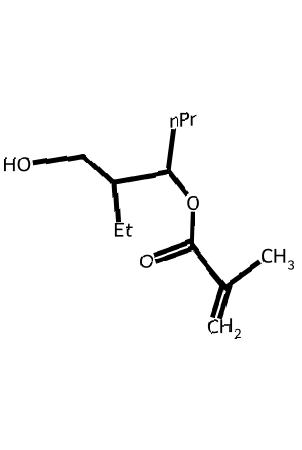 C=C(C)C(=O)OC(CCC)C(CC)CO